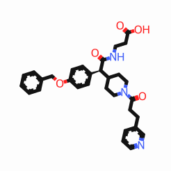 O=C(O)CCNC(=O)[C@H](c1ccc(OCc2ccccc2)cc1)C1CCN(C(=O)CCc2cccnc2)CC1